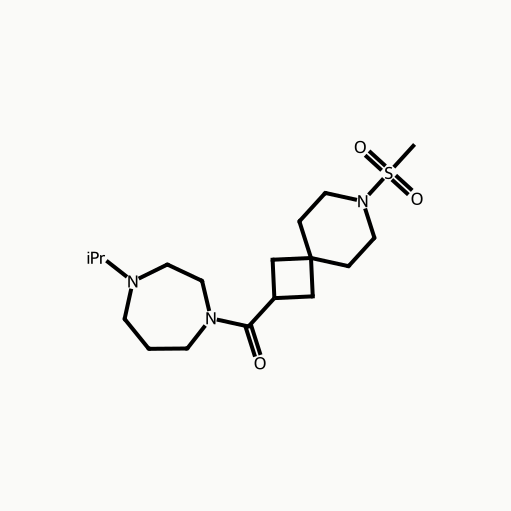 CC(C)N1CCCN(C(=O)C2CC3(CCN(S(C)(=O)=O)CC3)C2)CC1